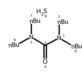 CCCCN(CCCC)C(=O)N(CCCC)CCCC.S